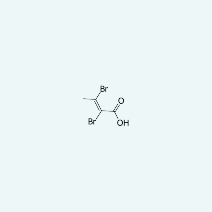 CC(Br)=C(Br)C(=O)O